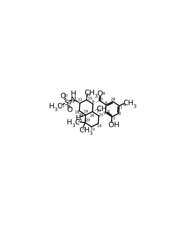 Cc1cc(O)cc(C(=O)[C@H]2[C@H](C)[C@H](NS(C)(=O)=O)C[C@H]3C(C)(C)CCC[C@]23C)c1